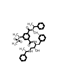 C[C@H](NC[C@@H](O)[C@H](Cc1ccccc1)NC(=O)c1cc(C(=O)N(C)[C@@H](C)c2ccccc2)cc(N(C)S(C)(=O)=O)c1)c1ccccc1